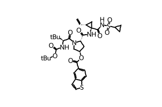 C=C[C@@H]1C[C@]1(NC(=O)[C@@H]1C[C@@H](OC(=O)c2ccc3sccc3c2)CN1C(=O)[C@@H](NC(=O)OC(C)(C)C)C(C)(C)C)C(=O)NS(=O)(=O)C1CC1